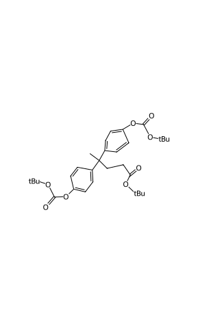 CC(C)(C)OC(=O)CCC(C)(c1ccc(OC(=O)OC(C)(C)C)cc1)c1ccc(OC(=O)OC(C)(C)C)cc1